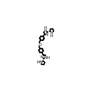 c1cc(-c2c[nH]c([C@@H]3CCCN3)n2)ccc1COCc1ccc(C2CNC([C@@H]3CCCN3)=N2)cc1